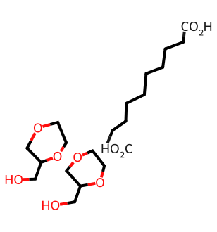 O=C(O)CCCCCCCCC(=O)O.OCC1COCCO1.OCC1COCCO1